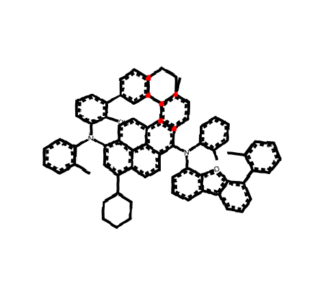 Cc1ccccc1-c1cccc(-c2cccc(N(c3ccccc3C)c3cc(C4CCCCC4)c4ccc5c(N(c6ccccc6C)c6cccc7c6oc6c(-c8ccccc8C)cccc67)cc(C6CCCCC6)c6ccc3c4c65)c2O)c1